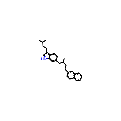 CC(C)CCc1c[nH]c2cc(CC(C)CCc3ccc4ccccc4c3)ccc12